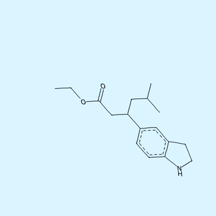 CCOC(=O)CC(CC(C)C)c1ccc2c(c1)CCN2